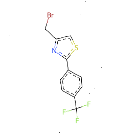 FC(F)(F)c1ccc(-c2nc(CBr)cs2)cc1